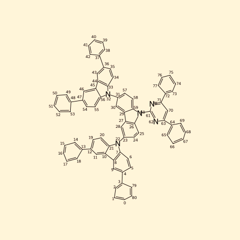 c1ccc(-c2ccc3c(c2)c2cc(-c4ccccc4)ccc2n3-c2ccc3c(c2)c2cc(-n4c5ccc(-c6ccccc6)cc5c5cc(-c6ccccc6)ccc54)ccc2n3-c2nc(-c3ccccc3)cc(-c3ccccc3)n2)cc1